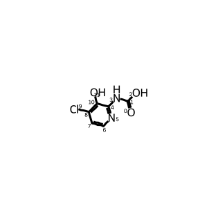 O=C(O)Nc1nccc(Cl)c1O